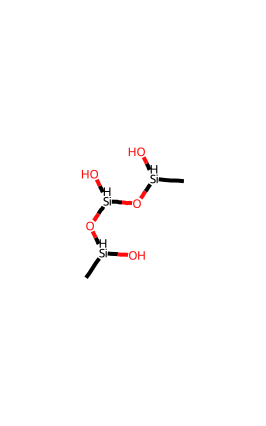 C[SiH](O)O[SiH](O)O[SiH](C)O